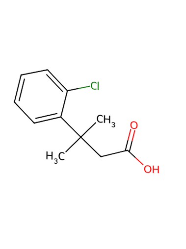 CC(C)(CC(=O)O)c1ccccc1Cl